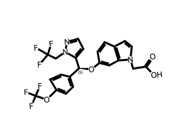 O=C(O)Cn1ccc2ccc(O[C@@H](c3ccc(OC(F)(F)F)cc3)c3ccnn3CC(F)(F)F)cc21